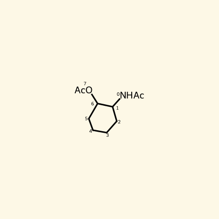 CC(=O)NC1CCCCC1OC(C)=O